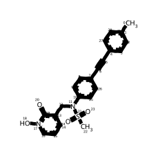 Cc1ccc(C#Cc2ccc(N(Cc3cccn(O)c3=O)S(C)(=O)=O)cc2)cc1